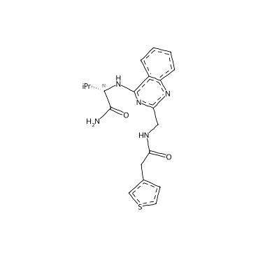 CC(C)[C@H](Nc1nc(CNC(=O)Cc2ccsc2)nc2ccccc12)C(N)=O